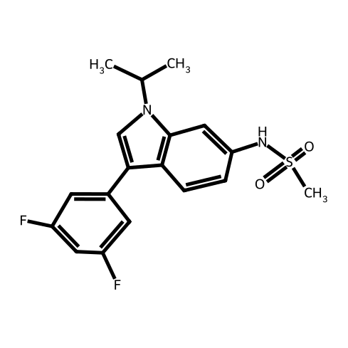 CC(C)n1cc(-c2cc(F)cc(F)c2)c2ccc(NS(C)(=O)=O)cc21